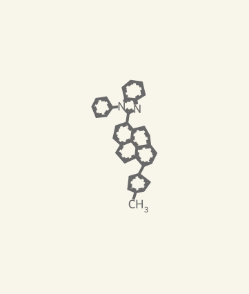 Cc1ccc(-c2ccc3ccc4c(-c5nc6ccccc6n5-c5ccccc5)ccc5ccc2c3c54)cc1